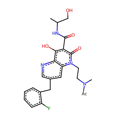 CC(=O)N(C)CCn1c(=O)c(C(=O)NC(C)CO)c(O)c2ncc(Cc3ccccc3F)cc21